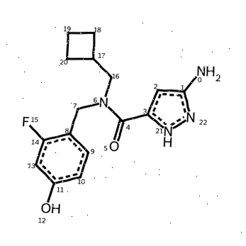 Nc1cc(C(=O)N(Cc2ccc(O)cc2F)CC2CCC2)[nH]n1